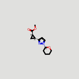 COC(=O)[C@@H]1C[C@H]1c1ccn([C@H]2CCCCO2)n1